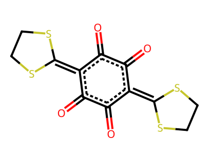 O=c1c(=O)c(=C2SCCS2)c(=O)c(=O)c1=C1SCCS1